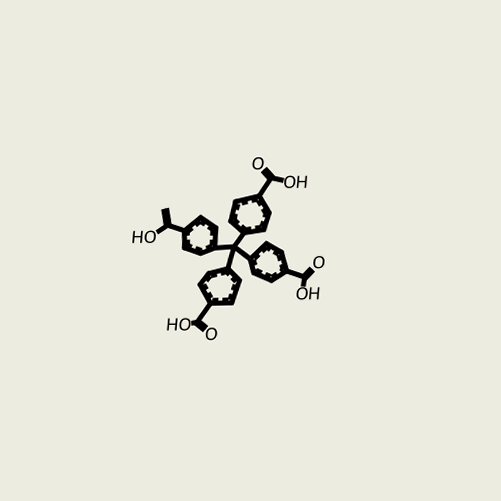 C=C(O)c1ccc(C(c2ccc(C(=O)O)cc2)(c2ccc(C(=O)O)cc2)c2ccc(C(=O)O)cc2)cc1